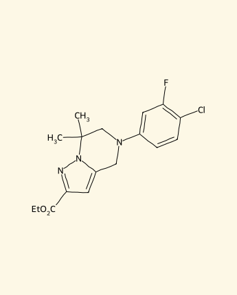 CCOC(=O)c1cc2n(n1)C(C)(C)CN(c1ccc(Cl)c(F)c1)C2